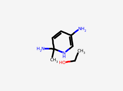 CC1(N)C=CC(N)=CN1.CCO